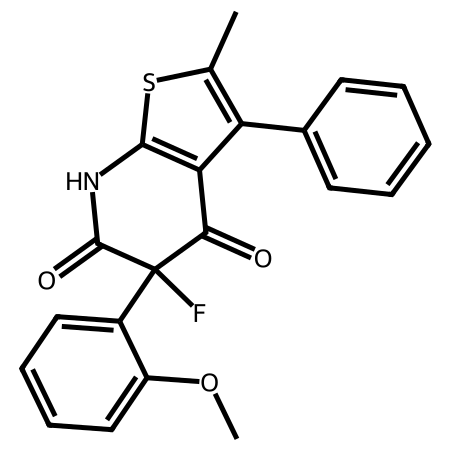 COc1ccccc1C1(F)C(=O)Nc2sc(C)c(-c3ccccc3)c2C1=O